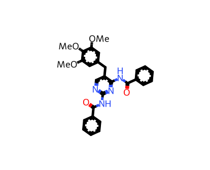 COc1cc(Cc2cnc(NC(=O)c3ccccc3)nc2NC(=O)c2ccccc2)cc(OC)c1OC